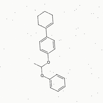 CC(Oc1ccccc1)Oc1ccc(C2=CCCCC2)cc1